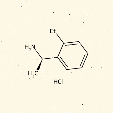 CCc1ccccc1[C@@H](C)N.Cl